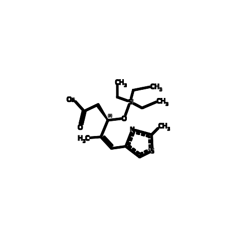 CC[Si](CC)(CC)O[C@H](C[C](=O)[Os])C(C)=Cc1csc(C)n1